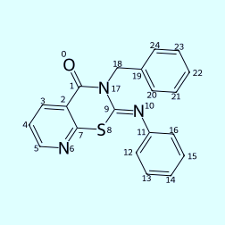 O=c1c2cccnc2sc(=Nc2ccccc2)n1Cc1ccccc1